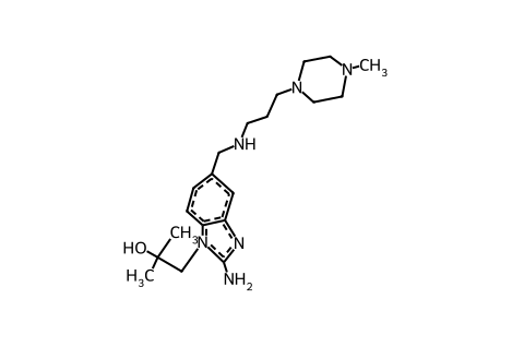 CN1CCN(CCCNCc2ccc3c(c2)nc(N)n3CC(C)(C)O)CC1